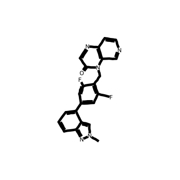 Cn1cc2c(-c3cc(F)c(Cn4c(=O)cnc5ccncc54)c(F)c3)cccc2n1